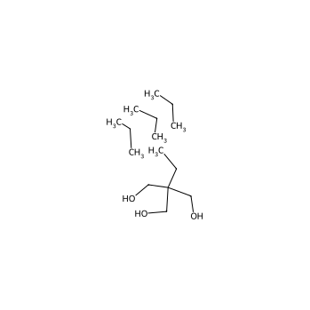 CCC.CCC.CCC.CCC(CO)(CO)CO